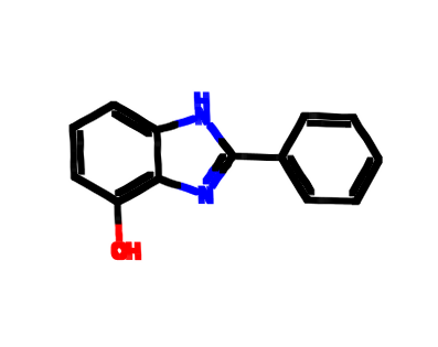 Oc1cccc2[nH]c(-c3ccccc3)nc12